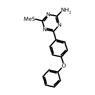 CSc1nc(N)nc(-c2ccc(Oc3ccccc3)cc2)n1